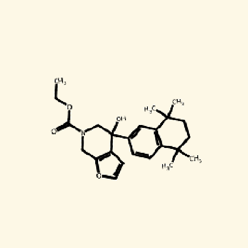 CCOC(=O)N1Cc2occc2C(O)(c2ccc3c(c2)C(C)(C)CCC3(C)C)C1